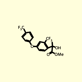 COC(=O)C(C)(O)c1ccc(Oc2ccc(C(F)(F)F)cc2)cc1C(F)(F)F